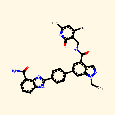 CCn1ncc2c(C(=O)NCc3c(C)cc(C)[nH]c3=O)cc(-c3ccc(-c4nc5c(C(N)=O)cccc5[nH]4)cc3)cc21